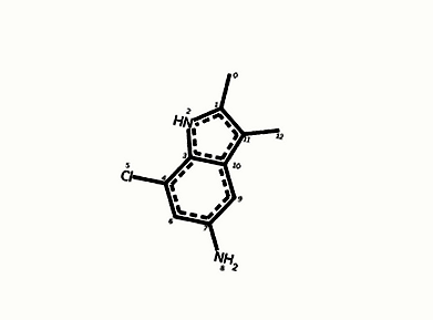 Cc1[nH]c2c(Cl)cc(N)cc2c1C